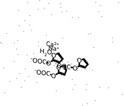 O.O=C([O-])Oc1ccco1.O=C([O-])Oc1ccco1.O=C([O-])Oc1ccco1.[Ca+2].[Na+]